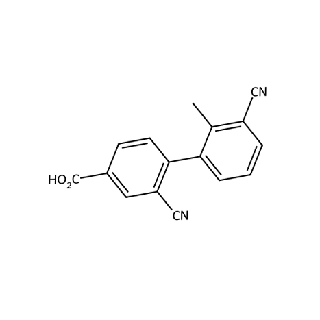 Cc1c(C#N)cccc1-c1ccc(C(=O)O)cc1C#N